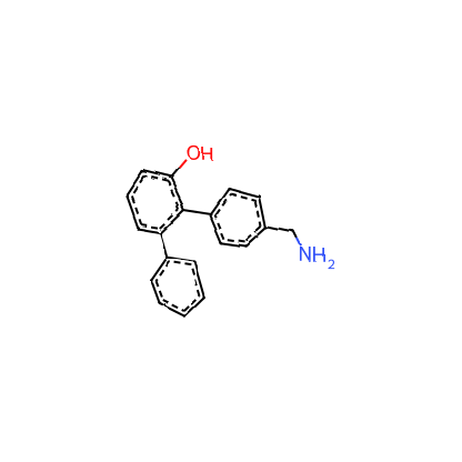 NCc1ccc(-c2c(O)cccc2-c2ccccc2)cc1